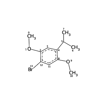 COc1cc(C(C)C)c(OC)cc1Br